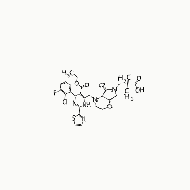 CCOC(=O)C1=C(CN2CCOC3CN(CC(C)(C)C(=O)O)C(=O)C32)NC(c2nccs2)=NC1c1cccc(F)c1Cl